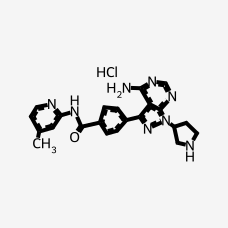 Cc1ccnc(NC(=O)c2ccc(-c3nn(C4CCNC4)c4ncnc(N)c34)cc2)c1.Cl